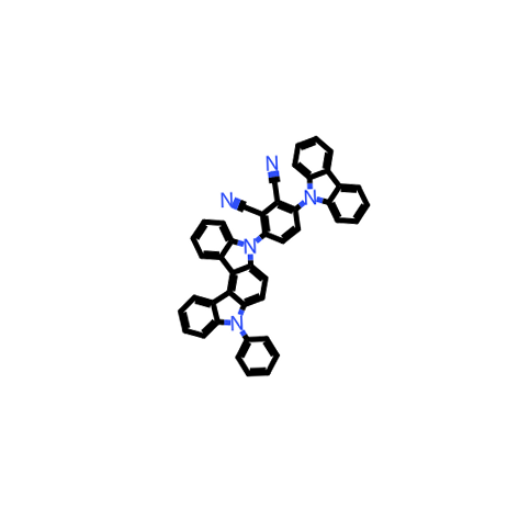 N#Cc1c(-n2c3ccccc3c3ccccc32)ccc(-n2c3ccccc3c3c4c5ccccc5n(-c5ccccc5)c4ccc32)c1C#N